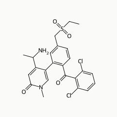 CCS(=O)(=O)Cc1ccc(C(=O)c2c(Cl)cccc2Cl)c(-c2cn(C)c(=O)cc2C(C)N)c1